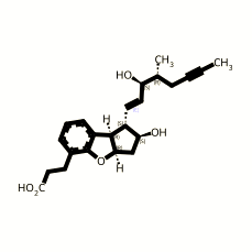 CC#CC[C@@H](C)[C@H](O)/C=C/[C@H]1[C@@H]2c3cccc(CCC(=O)O)c3O[C@@H]2C[C@@H]1O